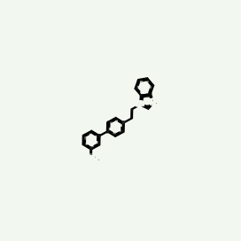 N#Cc1cccc(-c2ccc(CCn3cnc4ccccc43)cc2)c1